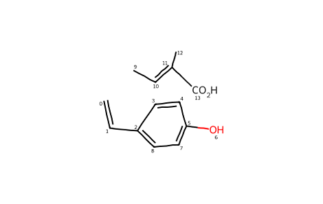 C=Cc1ccc(O)cc1.CC=C(C)C(=O)O